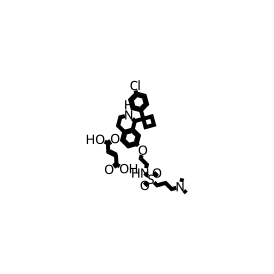 CN(C)CCCS(=O)(=O)NCCOc1ccc2c(c1)C(C1(c3ccc(Cl)cc3)CCC1)NCC2.O=C(O)C=CC(=O)O